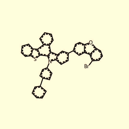 Brc1cccc2oc3ccc(-c4ccc5c(c4)c4c6ccccc6c6c7ccccc7sc6c4n5-c4ccc(-c5ccccc5)cc4)cc3c12